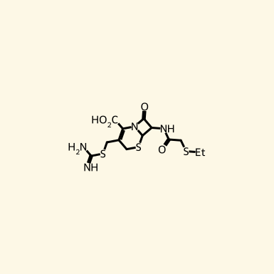 CCSCC(=O)NC1C(=O)N2C(C(=O)O)=C(CSC(=N)N)CSC12